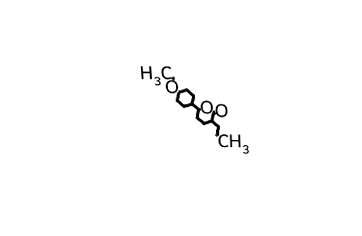 CCCC1CCC(C2CCC(OCC)CC2)OC1=O